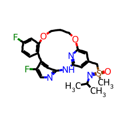 CC(C)N=S(C)(=O)Cc1cc2nc(c1)OCCCOc1cc(F)ccc1-c1cc(ncc1F)N2